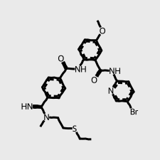 CCSCCN(C)C(=N)c1ccc(C(=O)Nc2ccc(OC)cc2C(=O)Nc2ccc(Br)cn2)cc1